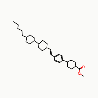 CCCCCC1CCC(C2CCC(C=Cc3ccc(C4CCC(C(=O)OC)CC4)cc3)CC2)CC1